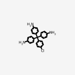 Nc1ccc(C(c2ccc(N)cc2)(c2ccc(N)cc2)c2ccc(Cl)cc2)cc1